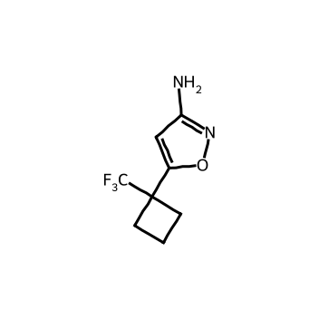 Nc1cc(C2(C(F)(F)F)CCC2)on1